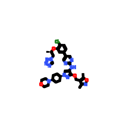 Cc1noc(C)c1COc1nn([C@H]2CC[C@H](N3CCOCC3)CC2)cc1Nc1ncc(-c2ccc(Cl)c(O[C@@H](C)Cn3cnnn3)c2)cn1